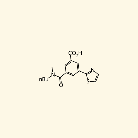 CCCCN(C)C(=O)c1cc(C(=O)O)cc(-c2nccs2)c1